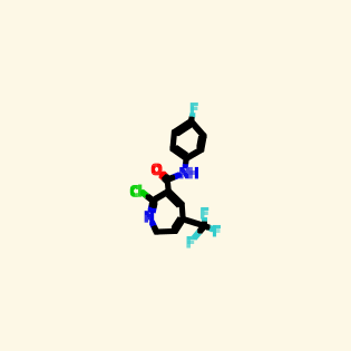 O=C(Nc1ccc(F)cc1)C1=CC(C(F)(F)F)=CCN=C1Cl